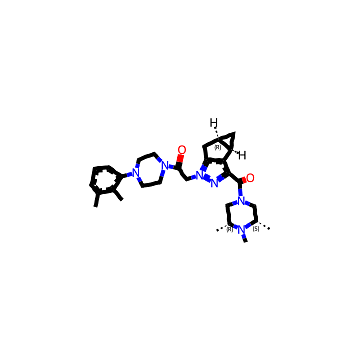 Cc1cccc(N2CCN(C(=O)Cn3nc(C(=O)N4C[C@@H](C)N(C)[C@@H](C)C4)c4c3C[C@H]3C[C@@H]43)CC2)c1C